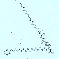 CCCCCCCCCCCCCCCCCCOC(=O)/C=C/C(=O)NOC(=O)/C(=C/C(=O)O)CCCCCCCCCCCCCCCCCCC1C=CCCC1